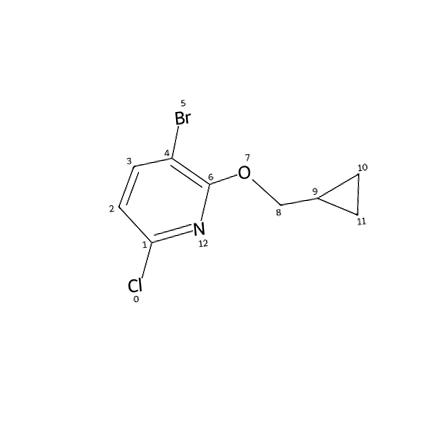 Clc1ccc(Br)c(OCC2CC2)n1